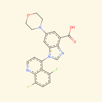 O=C(O)c1cc(N2CCOCC2)cc2c1ncn2-c1ccnc2c(F)ccc(F)c12